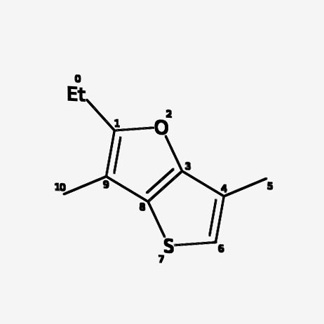 CCc1oc2c(C)csc2c1C